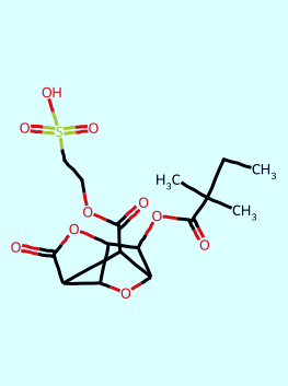 CCC(C)(C)C(=O)OC1C2OC(=O)C3C2OC1C3C(=O)OCCS(=O)(=O)O